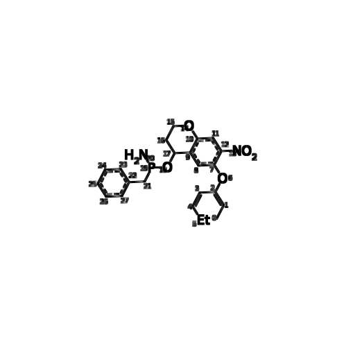 C/C=C(\C=C/CC)Oc1cc2c(cc1[N+](=O)[O-])OCCC2OP(N)Cc1ccccc1